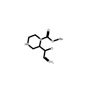 C=CC(Cl)C1CNCCN1C(=O)OC(C)(C)C